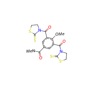 CNC(=O)c1cc(C(=O)N2CCSC2=S)c(OC)c(C(=O)N2CCSC2=S)c1